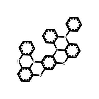 c1ccc(N2c3ccccc3B3c4cc5c(cc4Oc4cccc2c43)Oc2cccc3c2B5c2ccccc2O3)cc1